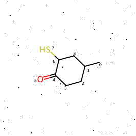 CC1CCC(=O)C(S)C1